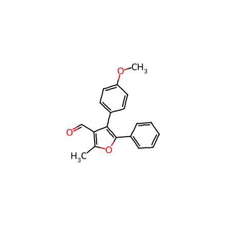 COc1ccc(-c2c(-c3ccccc3)oc(C)c2C=O)cc1